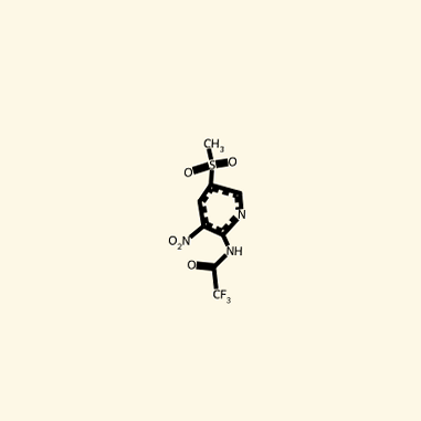 CS(=O)(=O)c1cnc(NC(=O)C(F)(F)F)c([N+](=O)[O-])c1